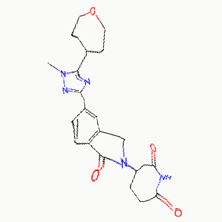 Cn1nc(-c2ccc3c(c2)CN(C2CCC(=O)NC2=O)C3=O)nc1C1CCOCC1